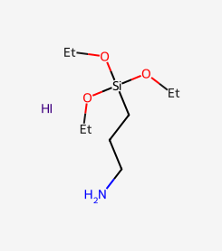 CCO[Si](CCCN)(OCC)OCC.I